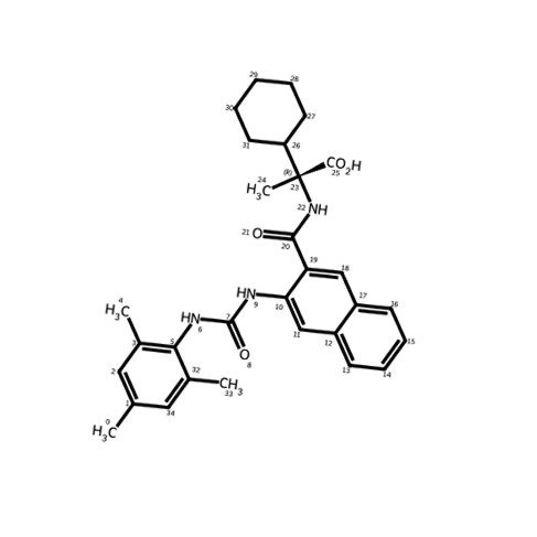 Cc1cc(C)c(NC(=O)Nc2cc3ccccc3cc2C(=O)N[C@@](C)(C(=O)O)C2CCCCC2)c(C)c1